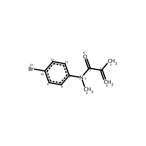 C=C(C)C(=O)N(C)c1ccc(Br)cc1